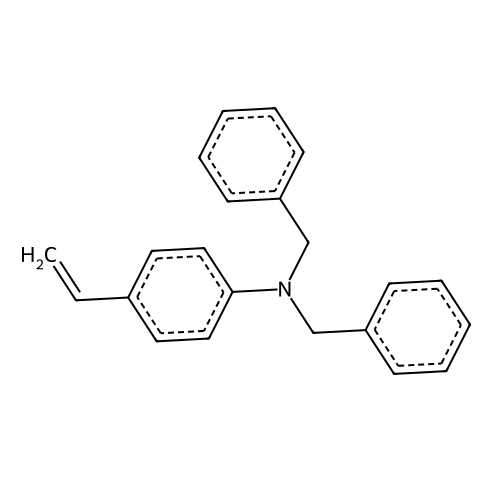 C=Cc1ccc(N(Cc2ccccc2)Cc2ccccc2)cc1